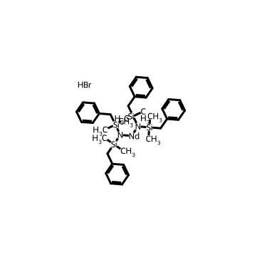 Br.C[Si](C)(Cc1ccccc1)[N]([Nd][N]([Si](C)(C)Cc1ccccc1)[Si](C)(C)Cc1ccccc1)[Si](C)(C)Cc1ccccc1